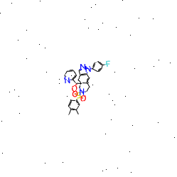 Cc1ccc(S(=O)(=O)N2CCC3=Cc4c(cnn4-c4ccc(F)cc4)CC3(C(=O)c3ccccn3)C2)cc1C